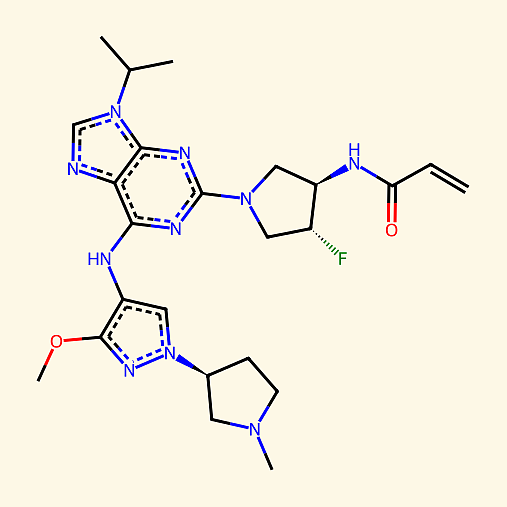 C=CC(=O)N[C@@H]1CN(c2nc(Nc3cn([C@H]4CCN(C)C4)nc3OC)c3ncn(C(C)C)c3n2)C[C@H]1F